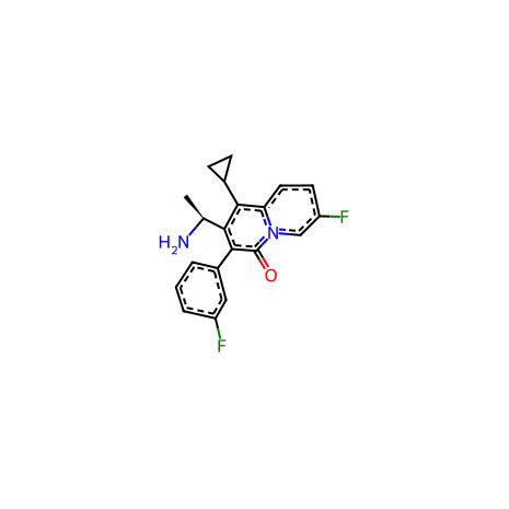 C[C@H](N)c1c(-c2cccc(F)c2)c(=O)n2cc(F)ccc2c1C1CC1